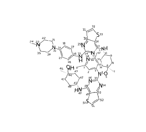 Cc1cc(N(O[C@]2(C)CC[C@@H](Nc3nc(Nc4ccc(N5CCN(C)CC5)cc4)nc4ccsc34)CC2)c2nc(N[C@H]3CC[C@](C)(O)CC3)c3sccc3n2)cc(C)n1